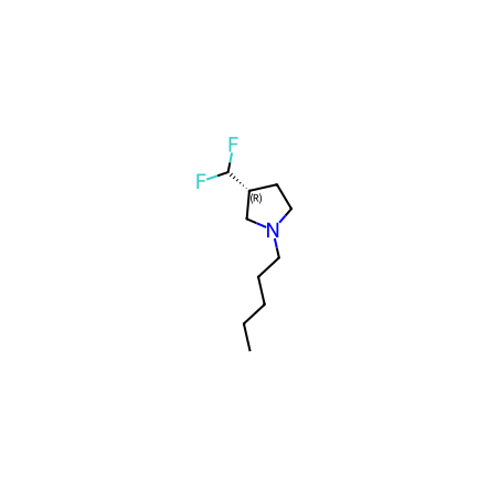 CCCCCN1CC[C@@H](C(F)F)C1